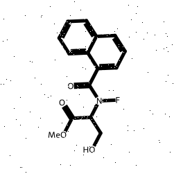 COC(=O)C(CO)N(F)C(=O)c1cccc2ccccc12